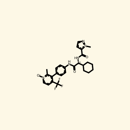 Cc1c(-c2ccc(NC(=O)[C@@H](NC(=O)c3ccnn3C)C3CCCCC3)cc2)c(C(F)(F)F)cc[n+]1[O-]